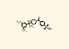 CC(C)(c1cc(C(F)(F)F)cc(C(F)(F)F)c1)C1CCN(C(=O)c2ccc(S(=O)(=O)C(C)(C)C)cc2)CC1